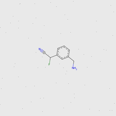 N#CC(F)c1cccc(CN)c1